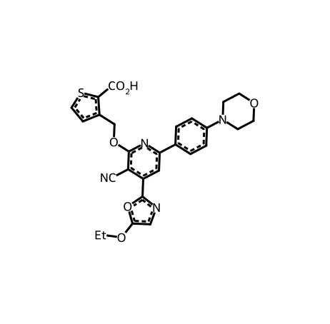 CCOc1cnc(-c2cc(-c3ccc(N4CCOCC4)cc3)nc(OCc3ccsc3C(=O)O)c2C#N)o1